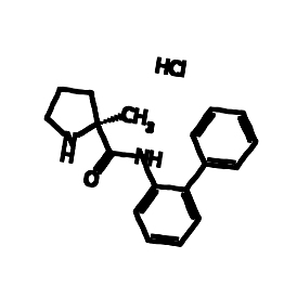 C[C@@]1(C(=O)Nc2ccccc2-c2ccccc2)CCCN1.Cl